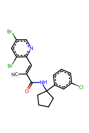 N#CC(=Cc1ncc(Br)cc1Br)C(=O)NC1(c2cccc(Cl)c2)CCCC1